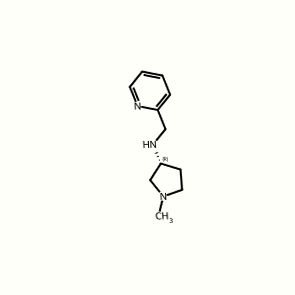 CN1CC[C@@H](NCc2ccccn2)C1